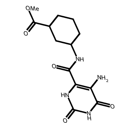 COC(=O)C1CCCC(NC(=O)c2[nH]c(=O)[nH]c(=O)c2N)C1